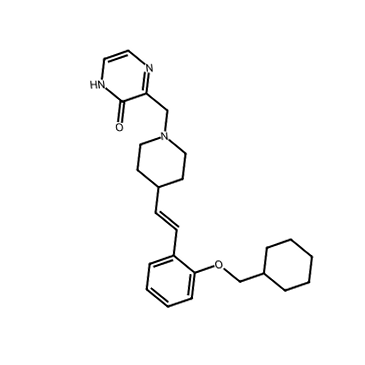 O=c1[nH]ccnc1CN1CCC(/C=C/c2ccccc2OCC2CCCCC2)CC1